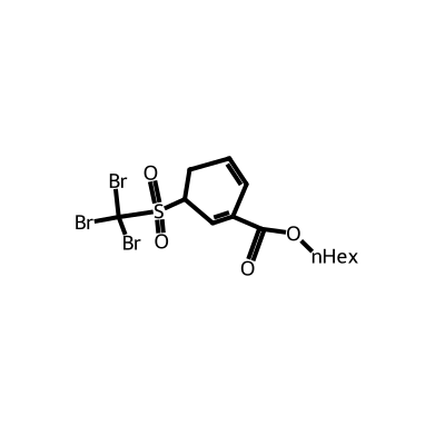 CCCCCCOC(=O)C1=CC(S(=O)(=O)C(Br)(Br)Br)CC=C1